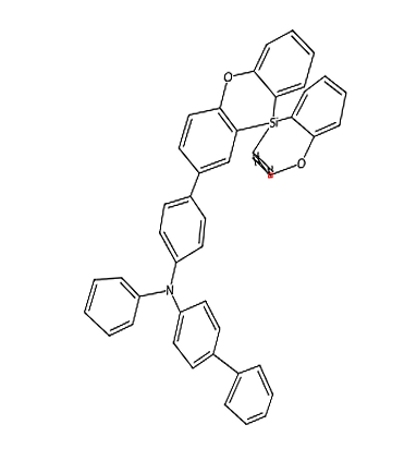 c1ccc(-c2ccc(N(c3ccccc3)c3ccc(-c4ccc5c(c4)[Si]4(c6ccccc6Oc6ccccc64)c4ccccc4O5)cc3)cc2)cc1